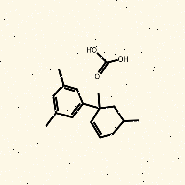 Cc1cc(C)cc(C2(C)C=CCC(C)C2)c1.O=C(O)O